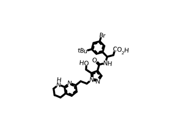 CC(C)(C)c1cc(Br)cc(C(CC(=O)O)NC(=O)c2cnn(CCc3ccc4c(n3)NCCC4)c2CO)c1